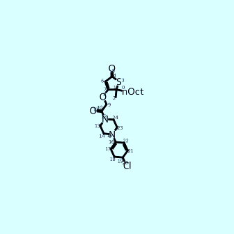 CCCCCCCCC1(C)SC(=O)C=C1OCC(=O)N1CCN(C2=CCC(Cl)C=C2)CC1